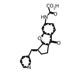 O=C(O)C(=O)Nc1ccc2c(=O)c3c(oc2c1)/C(=C/c1cccnc1)CC3